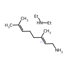 CC(C)=CCC/C(C)=C/CN.CCNCC